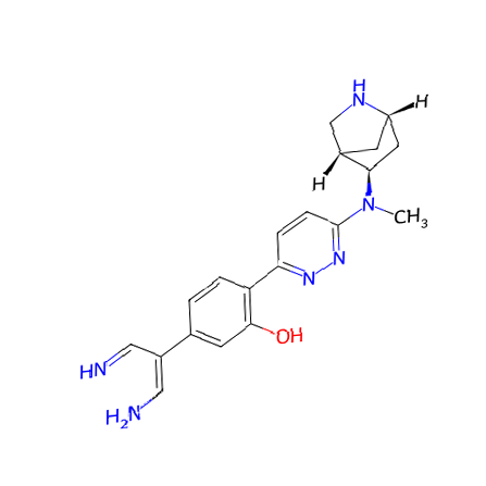 CN(c1ccc(-c2ccc(/C(C=N)=C/N)cc2O)nn1)[C@@H]1C[C@@H]2C[C@H]1CN2